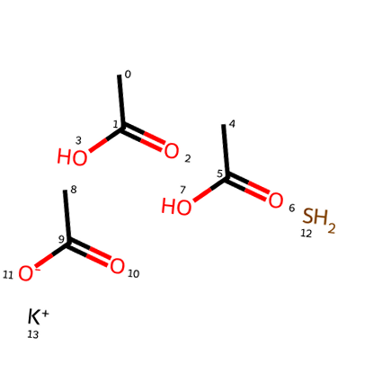 CC(=O)O.CC(=O)O.CC(=O)[O-].S.[K+]